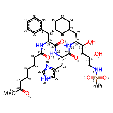 CCCS(=O)(=O)NC[C@@H](O)C[C@H](O)[C@H](CC1CCCCC1)NC(=O)[C@H](Cc1c[nH]cn1)NC(=O)[C@H](Cc1ccccc1)NC(=O)CCCCCC(=O)OC